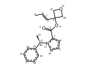 C/C=C/C1(OC(=O)c2ccnn2[C@H](C)c2ccccc2)COC1